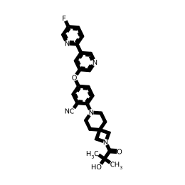 CC(C)(O)C(=O)N1CC2(CCN(c3ccc(Oc4cncc(-c5ccc(F)cn5)c4)cc3C#N)CC2)C1